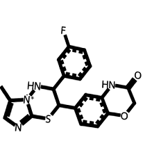 CC1=CN=C2SC(c3ccc4c(c3)NC(=O)CO4)C(c3cccc(F)c3)N[N+]12